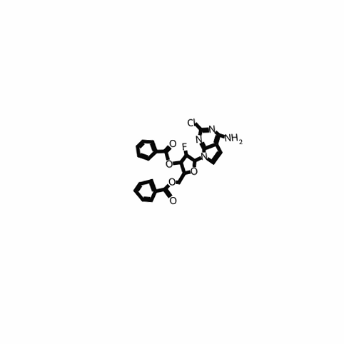 Nc1nc(Cl)nc2c1ccn2C1OC(COC(=O)c2ccccc2)C(OC(=O)c2ccccc2)C1F